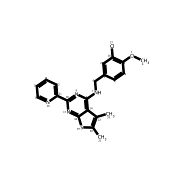 COc1ccc(CNc2nc(-c3ccccn3)nc3sc(C)c(C)c23)cc1Cl